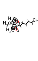 CCCCCC[Si](OC)(OC)C(C)(C)C